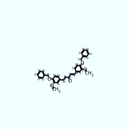 COc1cc(/C=C/C(=O)/C=C/c2ccc(OCc3ccccc3)c(OC)c2)ccc1OCc1ccccc1